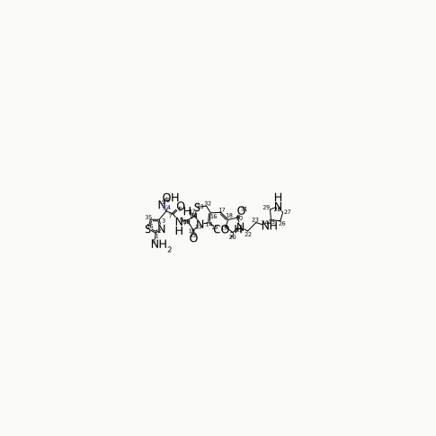 Nc1nc(/C(=N/O)C(=O)N[C@@H]2C(=O)N3C(C(=O)O)=C(C=C4CCN(CCNC5CCNC5)C4=O)CS[C@H]23)cs1